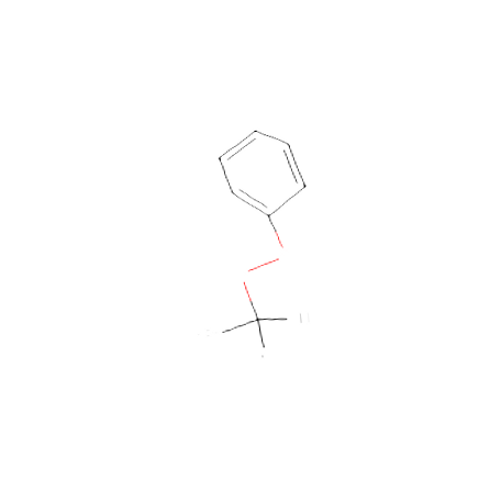 CCCC(C)(C)OOc1ccccc1